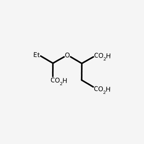 CCC(OC(CC(=O)O)C(=O)O)C(=O)O